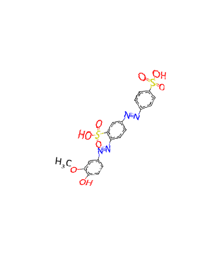 COc1cc(/N=N/c2ccc(/N=N/c3ccc(S(=O)(=O)O)cc3)cc2S(=O)(=O)O)ccc1O